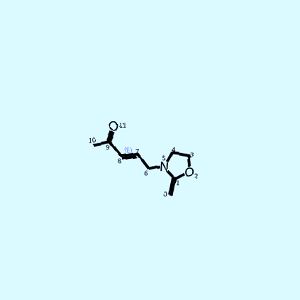 C=C1OCCN1C/C=C/C(C)=O